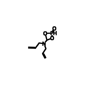 C=CCN(CC=C)C1O[PH](=O)O1